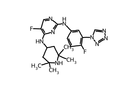 CC1(C)CC(Nc2nc(Nc3ccc(F)c(-n4cnnn4)c3)ncc2F)CC(C)(C)N1